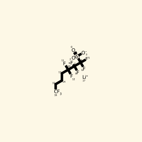 O=S(=O)([O-])C(F)(F)C(F)(F)C(F)(F)CCCC(F)(F)F.[Li+]